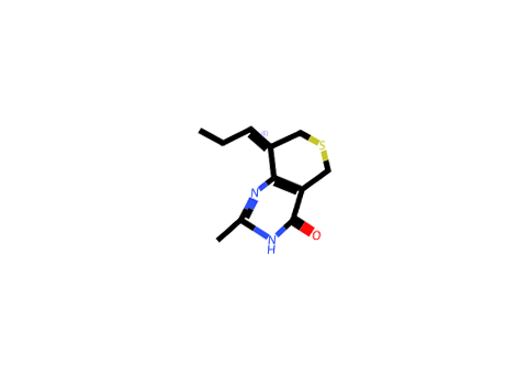 CC/C=C1/CSCc2c1nc(C)[nH]c2=O